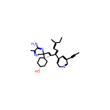 CC#CC1=CC(C(/C=C/C(C)(/N=C(/N)C(C)=N)[C@]2(C)CC[C@@H](O)CC2)=C/C=C(/C)CC)=CCN=C1